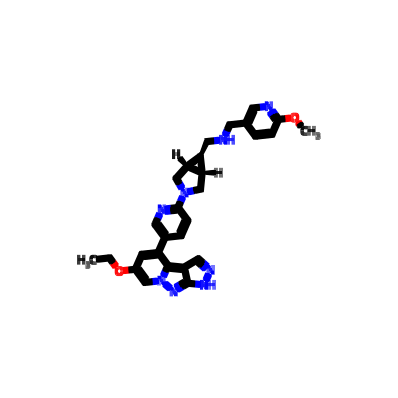 CCOc1cc(-c2ccc(N3C[C@@H]4[C@@H](CNCc5ccc(OC)nc5)[C@@H]4C3)nc2)c2c3cn[nH]c3nn2c1